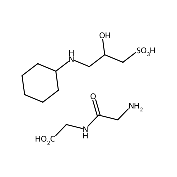 NCC(=O)NCC(=O)O.O=S(=O)(O)CC(O)CNC1CCCCC1